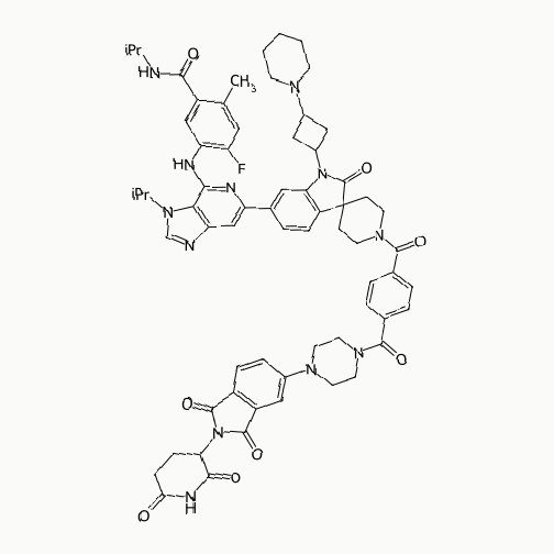 Cc1cc(F)c(Nc2nc(-c3ccc4c(c3)N(C3CC(N5CCCCC5)C3)C(=O)C43CCN(C(=O)c4ccc(C(=O)N5CCN(c6ccc7c(c6)C(=O)N(C6CCC(=O)NC6=O)C7=O)CC5)cc4)CC3)cc3ncn(C(C)C)c23)cc1C(=O)NC(C)C